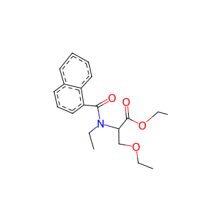 CCOCC(C(=O)OCC)N(CC)C(=O)c1cccc2ccccc12